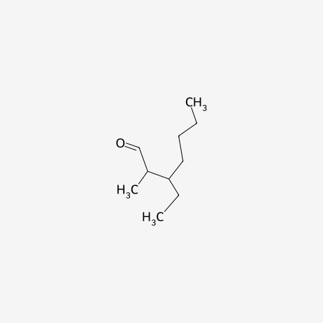 CCCCC(CC)C(C)C=O